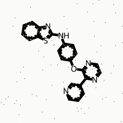 c1cncc(-c2nccnc2Oc2ccc(Nc3nc4ccccc4s3)cc2)c1